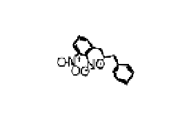 O=[N+]([O-])c1cccc(CCCc2ccccc2)c1[N+](=O)[O-]